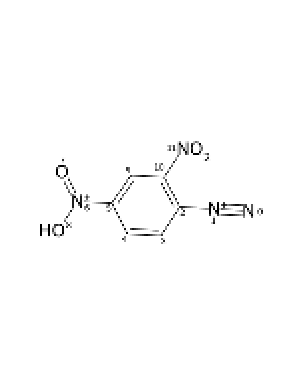 N#[N+]c1ccc([N+](=O)O)cc1[N+](=O)[O-]